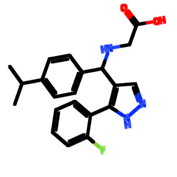 CC(C)c1ccc(C(NCC(=O)O)c2cn[nH]c2-c2ccccc2F)cc1